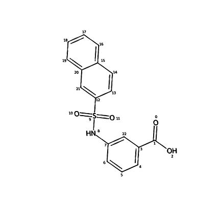 O=C(O)c1cccc(NS(=O)(=O)c2ccc3ccccc3c2)c1